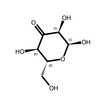 O=C1[C@@H](O)[C@@H](O)O[C@H](CO)[C@H]1O